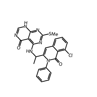 CSc1nc(NC(C)c2cc3cccc(Cl)c3c(=O)n2-c2ccccc2)c2c(=O)nc[nH]c2n1